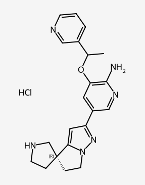 CC(Oc1cc(-c2cc3n(n2)CC[C@@]32CCNC2)cnc1N)c1cccnc1.Cl